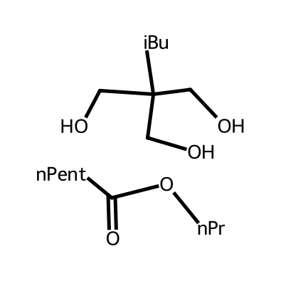 CCC(C)C(CO)(CO)CO.CCCCCC(=O)OCCC